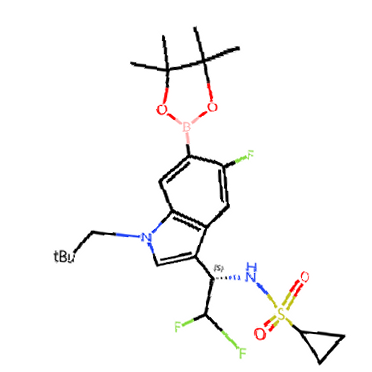 CC(C)(C)Cn1cc([C@H](NS(=O)(=O)C2CC2)C(F)F)c2cc(F)c(B3OC(C)(C)C(C)(C)O3)cc21